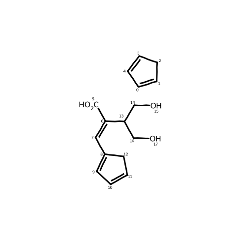 C1=CCC=C1.O=C(O)C(=CC1=CC=CC1)C(CO)CO